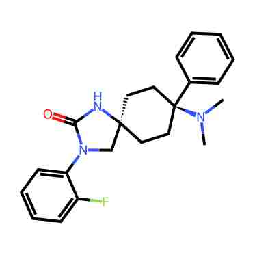 CN(C)[C@]1(c2ccccc2)CC[C@]2(CC1)CN(c1ccccc1F)C(=O)N2